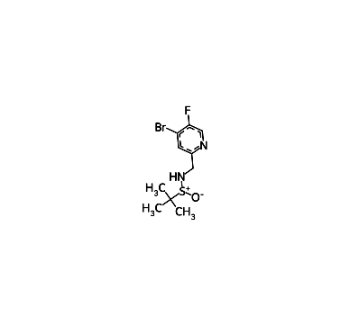 CC(C)(C)[S+]([O-])NCc1cc(Br)c(F)cn1